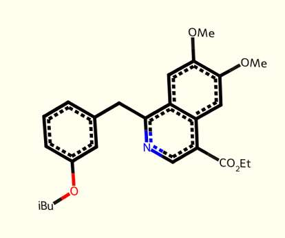 CCOC(=O)c1cnc(Cc2cccc(OC(C)CC)c2)c2cc(OC)c(OC)cc12